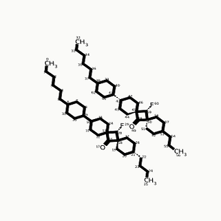 CCCCCCC1CCC(C2CCC3(CC2)C(=O)[C@]2(CC[C@@H](CCCC)CC2)[C@H]3F)CC1.CCCCCCC1CCC([C@H]2CC[C@]3(CC2)C(=O)[C@@]2(CCC(CCC)CC2)[C@H]3F)CC1